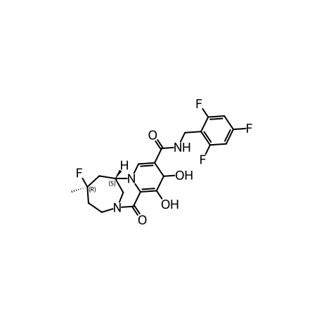 C[C@@]1(F)CCN2C[C@H](C1)N1C=C(C(=O)NCc3c(F)cc(F)cc3F)C(O)C(O)=C1C2=O